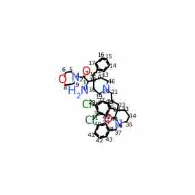 NC(C(=O)N1CCOCC1)C1(Cc2ccccc2)CCN(CCCC2(c3ccc(Cl)c(Cl)c3)CCCN(Cc3ccccc3)C2=O)CC1